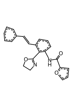 O=C(Nc1cccc(C=Cc2ccccc2)c1C1=NCCO1)c1ccco1